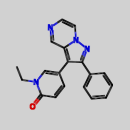 CCn1cc(-c2c(-c3ccccc3)nn3ccncc23)ccc1=O